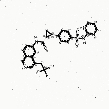 O=C(Nc1ccc2cncc(CC(F)(F)F)c2c1)[C@@H]1C[C@H]1c1ccc(S(=O)(=O)Nc2ncccn2)cc1